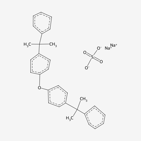 CC(C)(c1ccccc1)c1ccc(Oc2ccc(C(C)(C)c3ccccc3)cc2)cc1.O=S(=O)([O-])[O-].[Na+].[Na+]